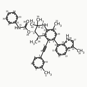 Cc1cccc(C#Cc2c(-c3cccc4c(C)c[nH]c34)cc(C)c3c2[C@@H](C)[C@H](OC(=O)Nc2ccccc2)C(C)(C)N3)c1